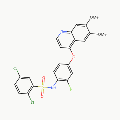 COc1cc2nccc(Oc3ccc(NS(=O)(=O)c4cc(Cl)ccc4Cl)c(F)c3)c2cc1OC